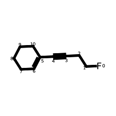 FCCC#CC1=CC[CH]CC1